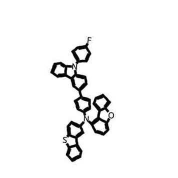 Fc1ccc(-n2c3ccccc3c3cc(-c4ccc(N(c5ccc6sc7ccccc7c6c5)c5cccc6oc7ccccc7c56)cc4)ccc32)cc1